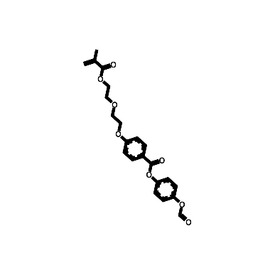 C=C(C)C(=O)OCCOCCOc1ccc(C(=O)Oc2ccc(OC=O)cc2)cc1